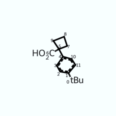 CC(C)(C)c1ccc(C2(C(=O)O)CCC2)cc1